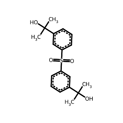 CC(C)(O)c1cccc(S(=O)(=O)c2cccc(C(C)(C)O)c2)c1